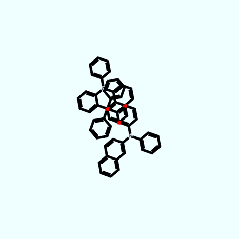 c1ccc(N(c2cccc(C(c3ccccc3)(c3ccccc3)c3ccccc3N(c3ccccc3)c3cccc4ccccc34)c2)c2ccc3ccccc3c2)cc1